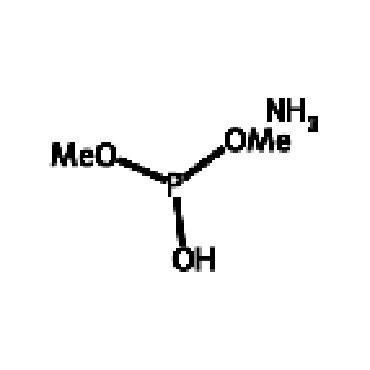 COP(O)OC.N